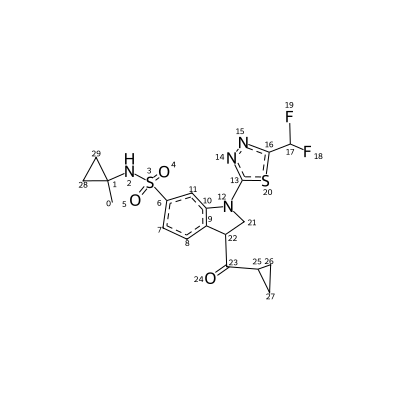 CC1(NS(=O)(=O)c2ccc3c(c2)N(c2nnc(C(F)F)s2)CC3C(=O)C2CC2)CC1